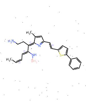 BNC(=C\C=C/C)/C(CCN)=C1N=C(/C=C/c2ccc(-c3ccccc3)s2)C=C\1C